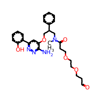 CN(CC(COc1cc(-c2ccccc2O)nnc1N)c1ccccc1)C(=O)CCOCCOCCC=O